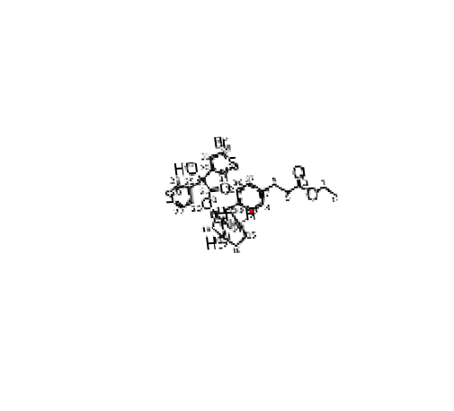 CCOC(=O)CCc1ccc(C[N@+]2(C)[C@@H]3CC[C@H]2C[C@@H](OC(=O)C(O)(c2ccsc2)c2ccsc2)C3)cc1.[Br-]